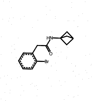 O=C(Cc1ccccc1Br)NC12CC(C1)C2